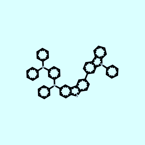 c1ccc(N(c2ccccc2)c2cccc(N(c3ccccc3)c3ccc4sc5ccc(-c6ccc7c8ccccc8n(-c8ccccc8)c7c6)cc5c4c3)c2)cc1